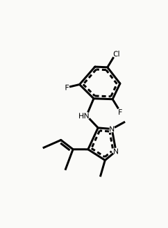 CC=C(C)c1c(C)nn(C)c1Nc1c(F)cc(Cl)cc1F